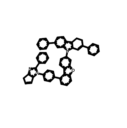 C1=Cc2c(nc(-c3ccccc3)n2-c2ccc(-c3cccc4oc5cc(-n6c7c(c8ccc(-c9ccccc9)cc86)CCC(c6ccccc6)=C7)ccc5c34)cc2)C1